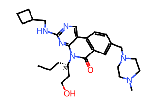 CCC[C@@H](CCO)n1c(=O)c2cc(CN3CCN(C)CC3)ccc2c2cnc(NCC3CCC3)nc21